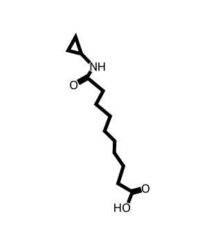 O=C(O)CCCCCCCCC(=O)NC1CC1